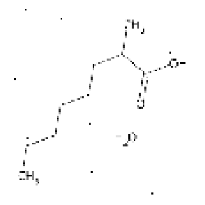 CCCCCCC(C)C(=O)O.O